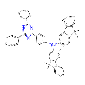 CC1(C)c2ccccc2-c2cc3c(cc21)c1cc2c(cc1n3-c1ccc(-c3nc(-c4ccccc4)nc(-c4ccccc4)n3)cc1)C(C)(C)c1ccccc1-2